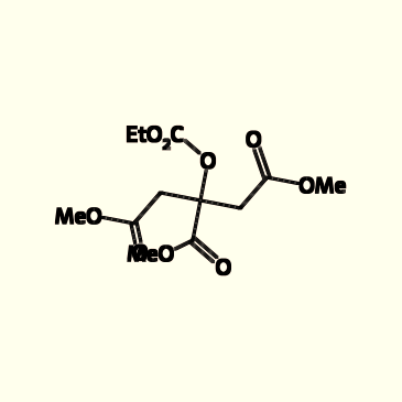 CCOC(=O)OC(CC(=O)OC)(CC(=O)OC)C(=O)OC